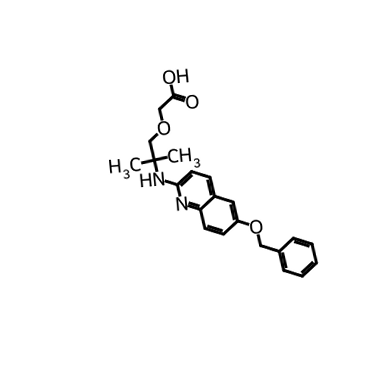 CC(C)(COCC(=O)O)Nc1ccc2cc(OCc3ccccc3)ccc2n1